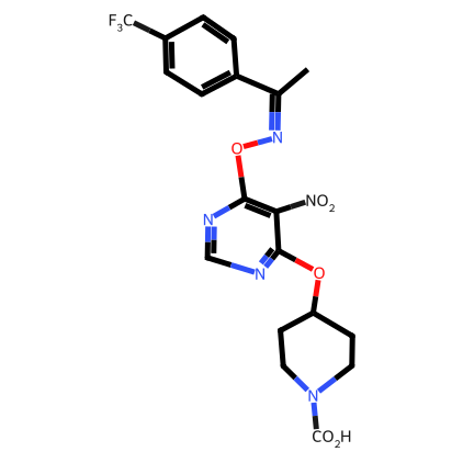 CC(=NOc1ncnc(OC2CCN(C(=O)O)CC2)c1[N+](=O)[O-])c1ccc(C(F)(F)F)cc1